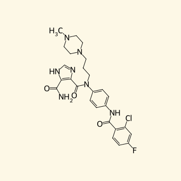 CN1CCN(CCCN(C(=O)c2nc[nH]c2C(N)=O)c2ccc(NC(=O)c3ccc(F)cc3Cl)cc2)CC1